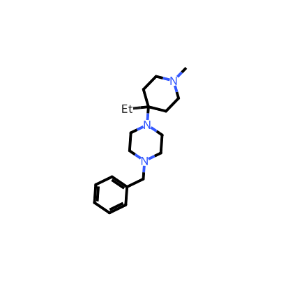 CCC1(N2CCN(Cc3ccccc3)CC2)CCN(C)CC1